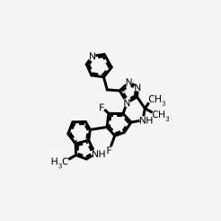 Cc1c[nH]c2c(-c3c(F)cc4c(c3F)-n3c(Cc5ccncc5)nnc3C(C)(C)N4)cccc12